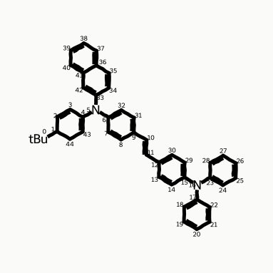 CC(C)(C)C1C=CC(N(c2ccc(/C=C/c3ccc(N(c4ccccc4)c4ccccc4)cc3)cc2)c2ccc3ccccc3c2)=CC1